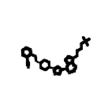 C[Si](C)(C)CCOCn1ccc2c(-c3cnn([C@H]4CC[C@@H](CSc5ccccc5C#N)CC4)c3)ncnc21